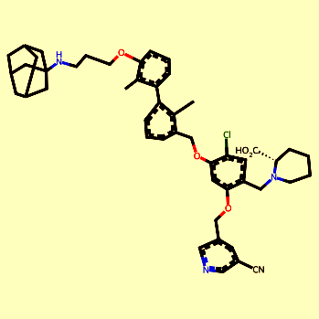 Cc1c(COc2cc(OCc3cncc(C#N)c3)c(CN3CCCC[C@H]3C(=O)O)cc2Cl)cccc1-c1cccc(OCCCNC23CC4CC(CC(C4)C2)C3)c1C